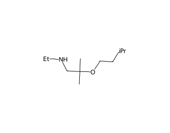 CCNCC(C)(C)OCCC(C)C